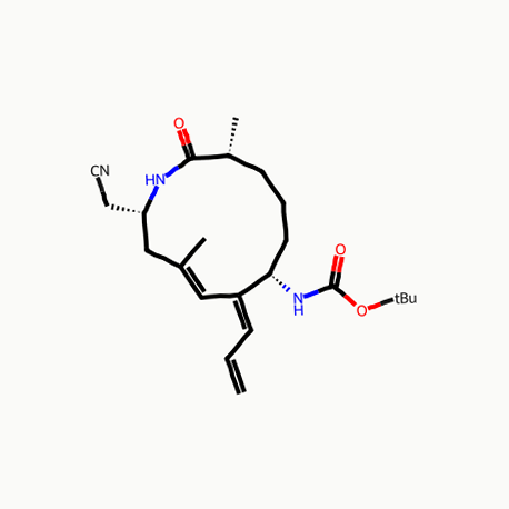 C=C/C=C1\C=C(/C)C[C@H](CC#N)NC(=O)[C@H](C)CCC[C@@H]1NC(=O)OC(C)(C)C